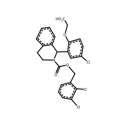 O=C(O)COc1ccc(Cl)cc1C1c2ccccc2CCN1C(=O)OCc1cccc(Cl)c1Cl